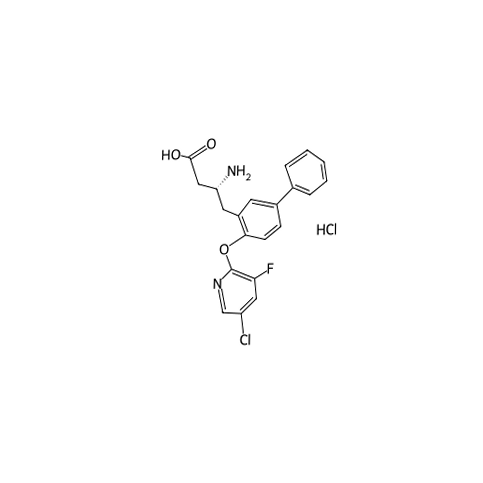 Cl.N[C@@H](CC(=O)O)Cc1cc(-c2ccccc2)ccc1Oc1ncc(Cl)cc1F